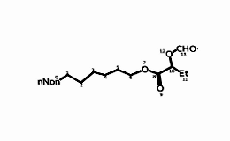 CCCCCCCCCCCCCCCOC(=O)C(CC)O[C]=O